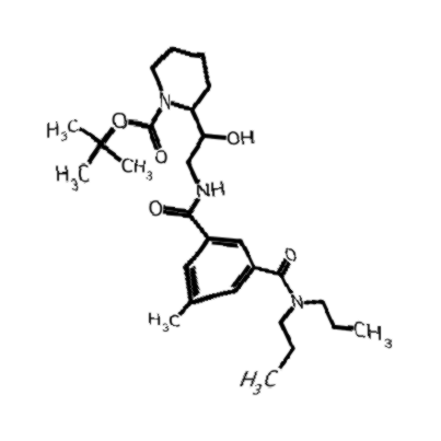 CCCN(CCC)C(=O)c1cc(C)cc(C(=O)NCC(O)C2CCCCN2C(=O)OC(C)(C)C)c1